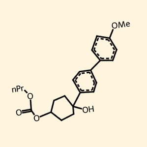 CCCOC(=O)OC1CCC(O)(c2ccc(-c3ccc(OC)cc3)cc2)CC1